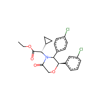 CCOC(=O)[C@H](C1CC1)N1C(=O)CO[C@H](c2cccc(Cl)c2)C1c1ccc(Cl)cc1